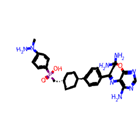 CN(N)c1ccc(P(=O)(O)C[C@H]2CC[C@H](c3ccc(C4=Nc5c(N)ncnc5OC4(N)N)cc3)CC2)cc1